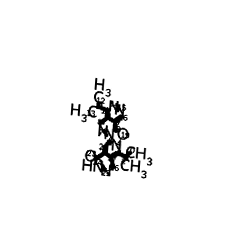 CC(C)c1nc(-n2ncc3c(C(C)C)nncc3c2=O)cc2c(=O)[nH]ncc12